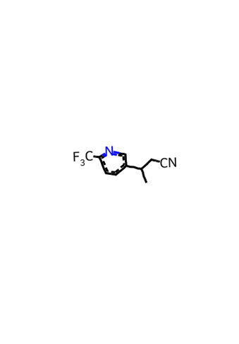 CC(CC#N)c1ccc(C(F)(F)F)nc1